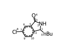 CCCCC1NC(=O)c2cc(Cl)ccc21